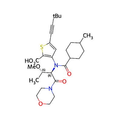 CO[C@@H](C)[C@H](C(=O)N1CCOCC1)N(C(=O)C1CCC(C)CC1)c1cc(C#CC(C)(C)C)sc1C(=O)O